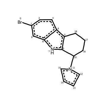 Brc1ccc2c3c([nH]c2c1)C(n1cccc1)CCC3